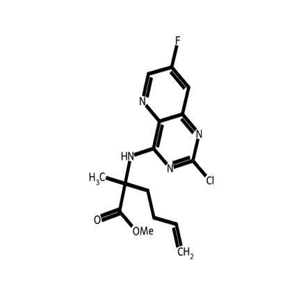 C=CCCC(C)(Nc1nc(Cl)nc2cc(F)cnc12)C(=O)OC